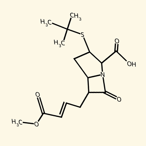 COC(=O)C=CCC1C(=O)N2C1CC(SC(C)(C)C)C2C(=O)O